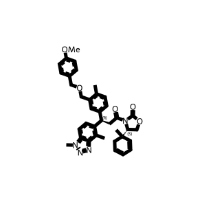 COc1ccc(COCc2cc([C@@H](CC(=O)N3C(=O)OC[C@@H]3C3(C)C=CC=CC3)c3ccc4c(nnn4C)c3C)ccc2C)cc1